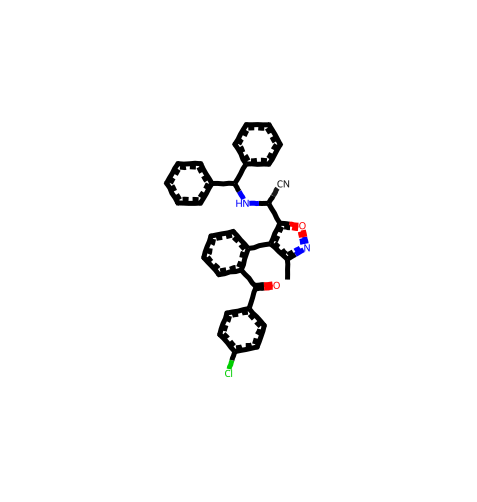 Cc1noc(C(C#N)NC(c2ccccc2)c2ccccc2)c1-c1ccccc1C(=O)c1ccc(Cl)cc1